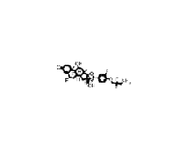 C[C@]12C=CC(=O)C=C1[C@@H](F)C[C@H]1[C@@H]3C[C@H]4O[C@@H](c5ccc(OCC(F)(F)CN)c(F)c5)O[C@@]4(C(=O)CO)[C@@]3(C)C[C@H](O)[C@@]12F